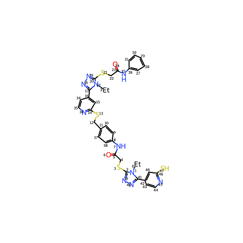 CCn1c(SCC(=O)Nc2ccc(CSc3cc(-c4nnc(SCC(=O)Nc5ccccc5)n4CC)ccn3)cc2)nnc1-c1ccnc(S)c1